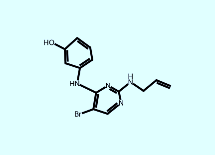 C=CCNc1ncc(Br)c(Nc2cccc(O)c2)n1